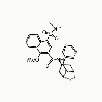 COc1c(C(=O)NC2CC3CCC(C2)N3Cc2ccccc2)cc(S(=O)(=O)N(C)C)c2ccccc12